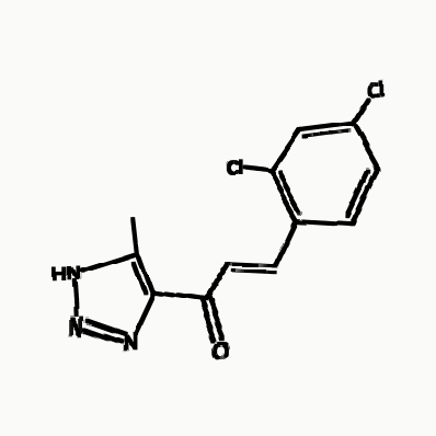 Cc1[nH]nnc1C(=O)/C=C/c1ccc(Cl)cc1Cl